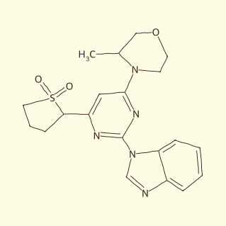 CC1COCCN1c1cc(C2CCCS2(=O)=O)nc(-n2cnc3ccccc32)n1